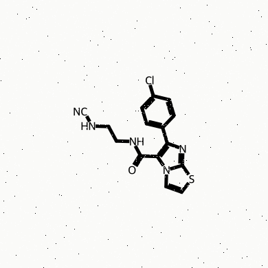 N#CNCCNC(=O)c1c(-c2ccc(Cl)cc2)nc2sccn12